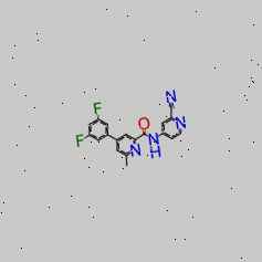 Cc1cc(-c2cc(F)cc(F)c2)cc(C(=O)Nc2ccnc(C#N)c2)n1